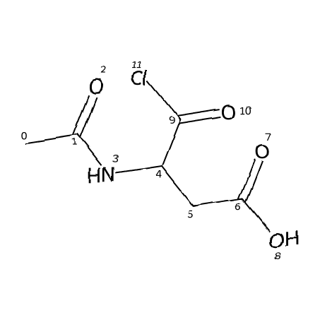 CC(=O)NC(CC(=O)O)C(=O)Cl